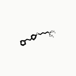 CN(C)CCCCOc1ccc(CCc2ccccc2)cc1